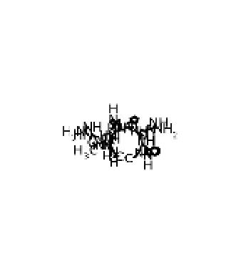 CC(=O)N[C@@H](CCCNC(=N)N)C(O)N[C@H]1CNC(=O)CCCCCNC(=O)[C@H](Cc2c[nH]c3ccccc23)NC(=O)[C@H](CCCNC(=N)N)NC(=O)[C@@H](Cc2ccccc2)NC(O)[C@H](Cc2c[nH]cn2)NC1=O